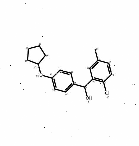 Cc1ccc(Cl)c(C(O)c2ccc(OC3CCCC3)cc2)c1